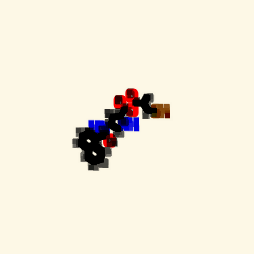 CC(CS)C(=O)OC(=O)[C@@H]1CC(NC(=O)c2cccc3ccccc23)CN1